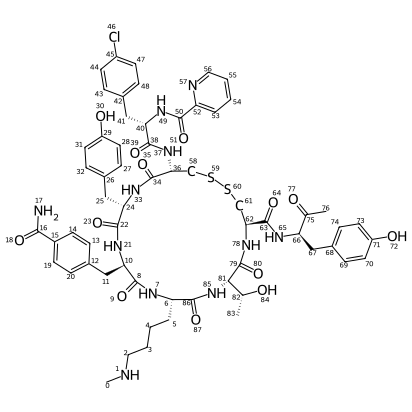 CNCCCC[C@@H]1NC(=O)[C@@H](Cc2ccc(C(N)=O)cc2)NC(=O)[C@H](Cc2ccc(O)cc2)NC(=O)[C@H](NC(=O)[C@H](Cc2ccc(Cl)cc2)NC(=O)c2ccccn2)CSSC[C@@H](C(=O)N[C@H](Cc2ccc(O)cc2)C(C)=O)NC(=O)[C@H]([C@@H](C)O)NC1=O